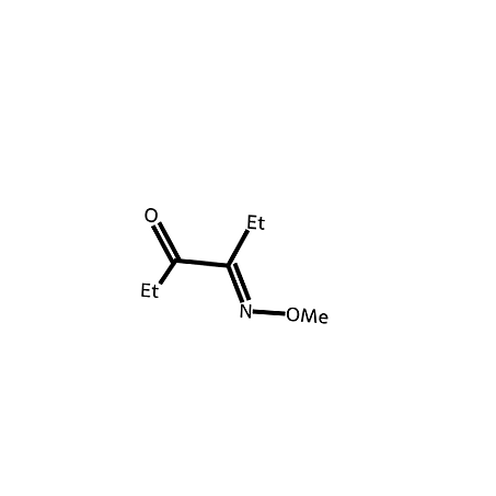 CCC(=O)C(CC)=NOC